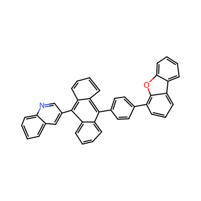 c1ccc2ncc(-c3c4ccccc4c(-c4ccc(-c5cccc6c5oc5ccccc56)cc4)c4ccccc34)cc2c1